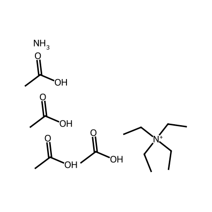 CC(=O)O.CC(=O)O.CC(=O)O.CC(=O)O.CC[N+](CC)(CC)CC.N